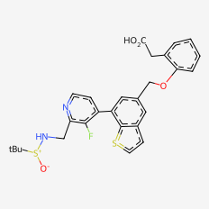 CC(C)(C)[S+]([O-])NCc1nccc(-c2cc(COc3ccccc3CC(=O)O)cc3ccsc23)c1F